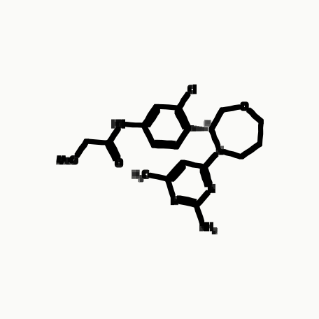 COCC(=O)Nc1ccc([C@@H]2COCCCN2c2cc(C)nc(N)n2)c(Cl)c1